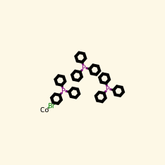 [Co][Br].c1ccc(P(c2ccccc2)c2ccccc2)cc1.c1ccc(P(c2ccccc2)c2ccccc2)cc1.c1ccc(P(c2ccccc2)c2ccccc2)cc1